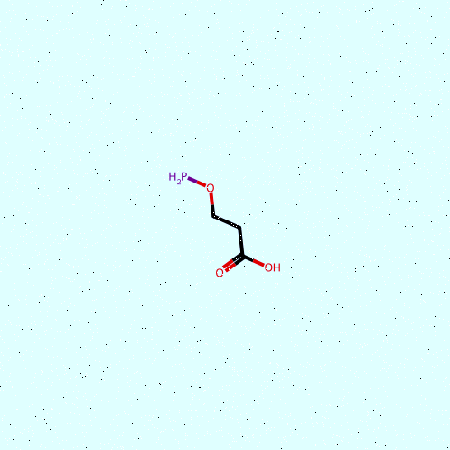 O=C(O)CCOP